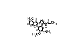 CCNC(=O)c1ncc2c(Nc3c(C)cccc3Cl)nc3cc(OC)c(OC)cc3n12